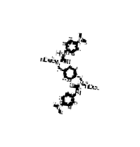 CCCCCCCCCCN(C[C@H]1CC[C@H](CN(CCCCCCCCCC)C(=O)Nc2ccc(N(C)C)cc2)CC1)C(=O)Nc1ccc(N(C)C)cc1